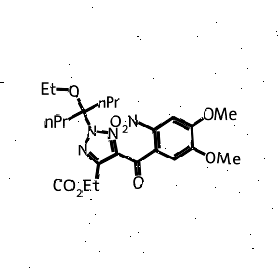 CCCC(CCC)(OCC)n1nc(C(=O)OCC)c(C(=O)c2cc(OC)c(OC)cc2[N+](=O)[O-])n1